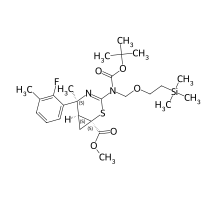 COC(=O)[C@]12C[C@H]1[C@@](C)(c1cccc(C)c1F)N=C(N(COCC[Si](C)(C)C)C(=O)OC(C)(C)C)S2